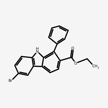 CCOC(=O)c1ccc2c([nH]c3ccc(Br)cc32)c1-c1ccccc1